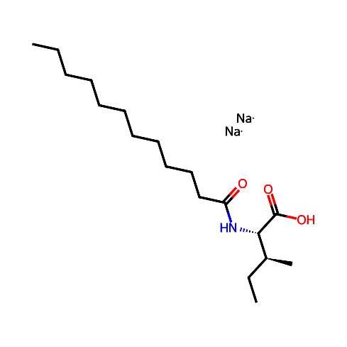 CCCCCCCCCCCC(=O)N[C@H](C(=O)O)[C@@H](C)CC.[Na].[Na]